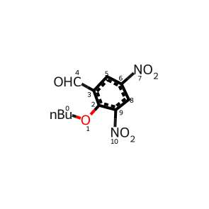 CCCCOc1c(C=O)cc([N+](=O)[O-])cc1[N+](=O)[O-]